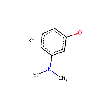 CCN(C)c1cccc([O-])c1.[K+]